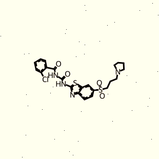 O=C(NC(=O)c1ccccc1Cl)Nc1nc2ccc(S(=O)(=O)CCCN3CCCC3)cc2s1